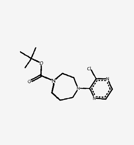 CC(C)(C)OC(=O)N1CCCN(c2nccnc2Cl)CC1